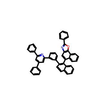 c1ccc(-c2cc(-c3ccccc3)nc(-c3cccc(-c4ccc5ccccc5c4-c4cc5nc(-c6ccccc6)oc5c5ccccc45)c3)c2)cc1